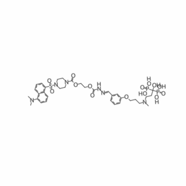 CN(CCCOc1cccc(/C=N/NC(=O)OCCOC(=O)N2CCN(S(=O)(=O)c3cccc4c(N(C)C)cccc34)CC2)c1)CCC(O)(P(=O)(O)O)P(=O)(O)O